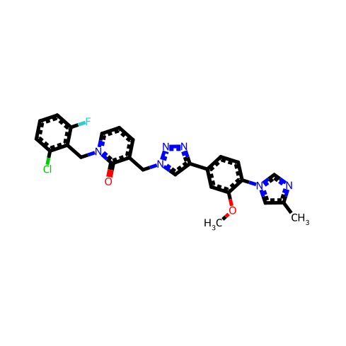 COc1cc(-c2cn(Cc3cccn(Cc4c(F)cccc4Cl)c3=O)nn2)ccc1-n1cnc(C)c1